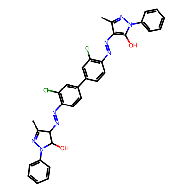 CC1=NN(c2ccccc2)C(O)C1/N=N/c1ccc(-c2ccc(/N=N/c3c(C)nn(-c4ccccc4)c3O)c(Cl)c2)cc1Cl